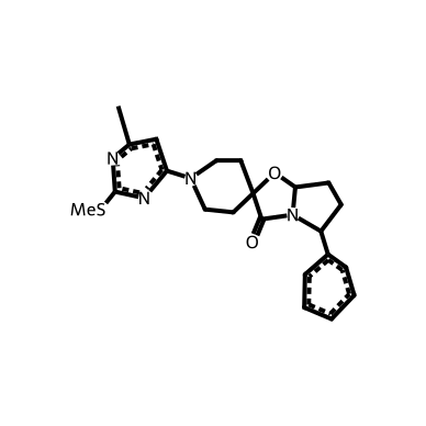 CSc1nc(C)cc(N2CCC3(CC2)OC2CCC(c4ccccc4)N2C3=O)n1